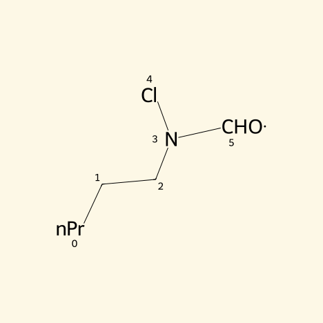 CCCCCN(Cl)[C]=O